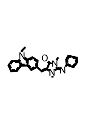 CCn1c2ccccc2c2cc(/C=C3\C(=O)N(C)/C(=N\c4ccccc4)N3C)ccc21